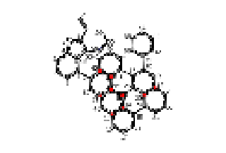 C=Cc1sc2cccc(-c3ccc(N(c4ccccc4-c4ccccc4)c4cccc(-c5ccccc5)c4-c4ccccc4-c4ccccc4)cc3)c2c1/C=C\C